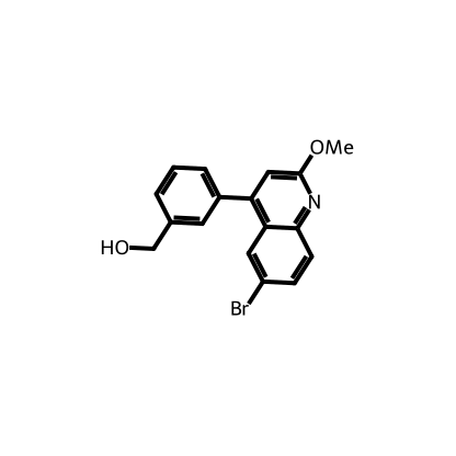 COc1cc(-c2cccc(CO)c2)c2cc(Br)ccc2n1